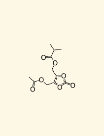 CC(=O)OCc1oc(=O)oc1COC(=O)C(C)C